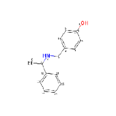 CCC(NCc1ccc(O)cc1)c1ccccc1